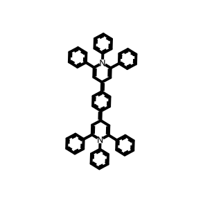 C1=C(c2ccccc2)N(c2ccccc2)C(c2ccccc2)=CC1=c1ccc(=C2C=C(c3ccccc3)N(c3ccccc3)C(c3ccccc3)=C2)cc1